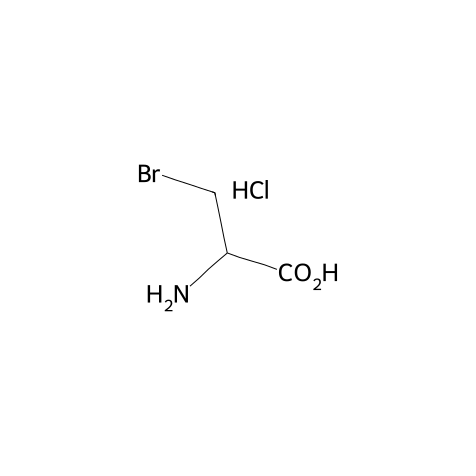 Cl.NC(CBr)C(=O)O